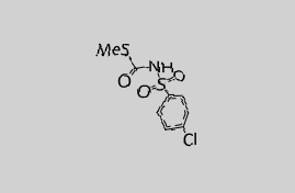 CSC(=O)NS(=O)(=O)c1ccc(Cl)cc1